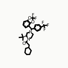 CC(C)(C)[C@H]1CN(C(c2ccc(C(F)(F)F)cc2)c2cccc3c2OC(F)(F)O3)CCN1C(=O)CC1CCCCC1